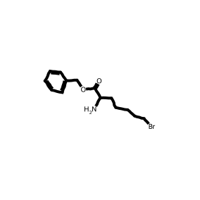 NC(CCCCCBr)C(=O)OCc1ccccc1